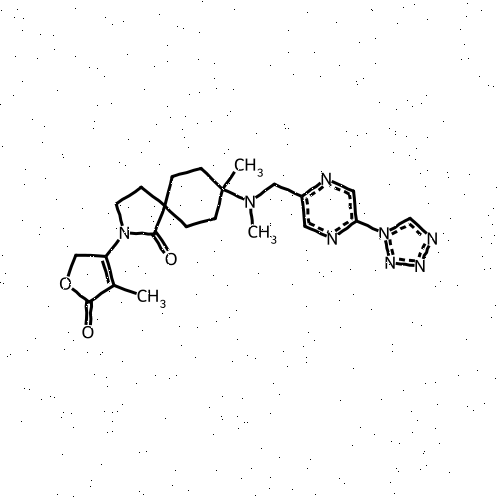 CC1=C(N2CCC3(CCC(C)(N(C)Cc4cnc(-n5cnnn5)cn4)CC3)C2=O)COC1=O